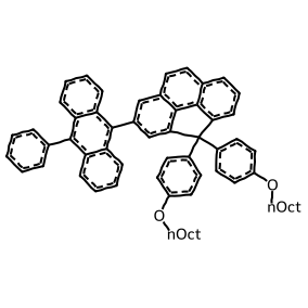 CCCCCCCCOc1ccc(C2(c3ccc(OCCCCCCCC)cc3)c3cccc4ccc5cc(-c6c7ccccc7c(-c7ccccc7)c7ccccc67)cc2c5c34)cc1